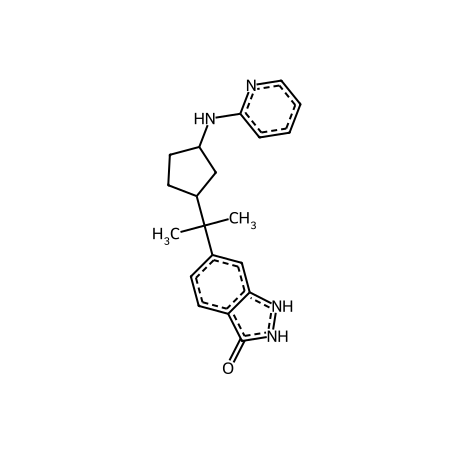 CC(C)(c1ccc2c(=O)[nH][nH]c2c1)C1CCC(Nc2ccccn2)C1